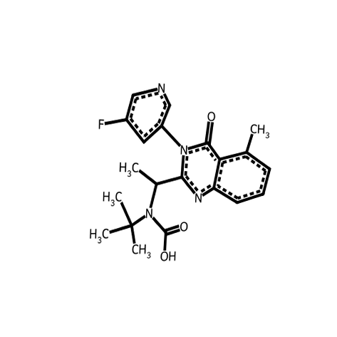 Cc1cccc2nc(C(C)N(C(=O)O)C(C)(C)C)n(-c3cncc(F)c3)c(=O)c12